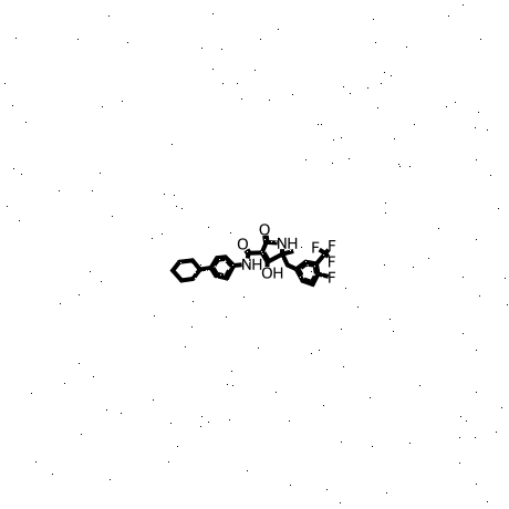 CC1(Cc2ccc(F)c(C(F)(F)F)c2)NC(=O)C(C(=O)Nc2ccc(C3CCCCC3)cc2)=C1O